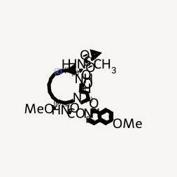 COC[C@@H]1CCCC/C=C\[C@@H]2C[C@@]2(C(=O)NS(=O)(=O)C2(C)CC2)NC(=O)[C@@H]2C[C@@H](Oc3nccc4cc(OC)ccc34)CN2C(=O)[C@H]1NC(=O)O